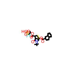 CC(OC(=O)C1C2SC3C1C(=O)N(C(C)(C)C)C3C2OC(=O)c1ccc2ccccc2c1)C(F)(F)S(=O)(=O)O